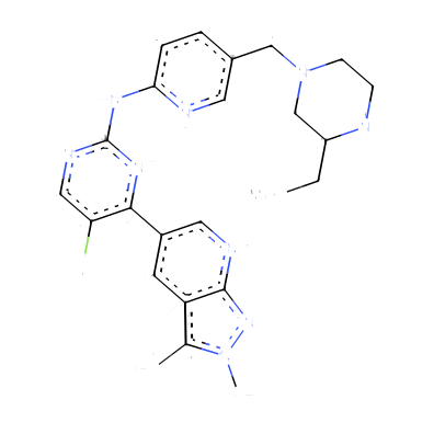 COCC1CN(Cc2ccc(Nc3ncc(F)c(-c4cnc5nn(C)c(C(C)(C)C)c5c4)n3)nc2)CCN1